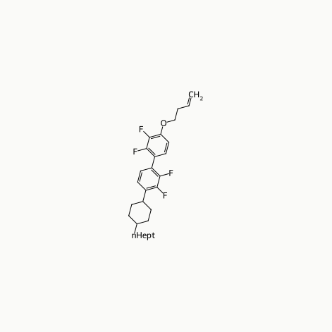 C=CCCOc1ccc(-c2ccc(C3CCC(CCCCCCC)CC3)c(F)c2F)c(F)c1F